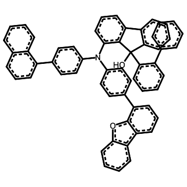 OC1(c2ccccc2-c2ccccc2)c2ccccc2-c2cccc(N(c3ccc(-c4cccc5ccccc45)cc3)c3ccc(-c4cccc5c4oc4ccccc45)cc3)c21